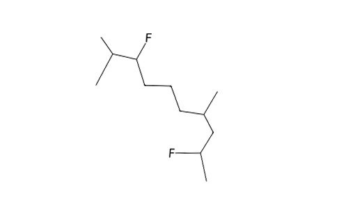 CC(F)CC(C)CCCC(F)C(C)C